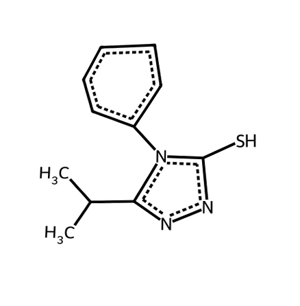 CC(C)c1nnc(S)n1-c1ccccc1